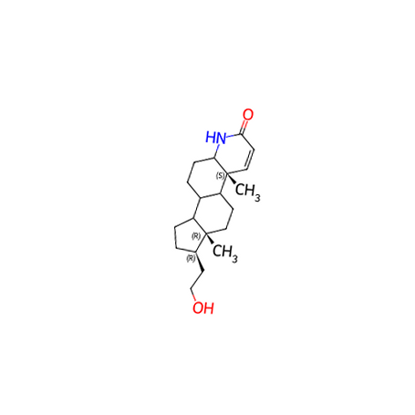 C[C@]12C=CC(=O)NC1CCC1C2CC[C@@]2(C)C1CC[C@@H]2CCO